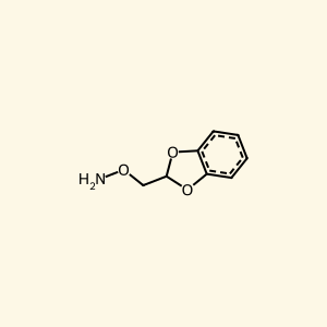 NOCC1Oc2ccccc2O1